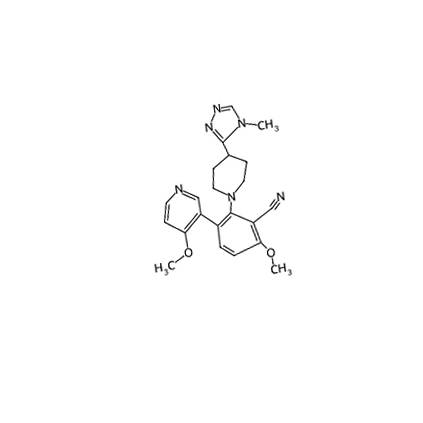 COc1ccncc1-c1ccc(OC)c(C#N)c1N1CCC(c2nncn2C)CC1